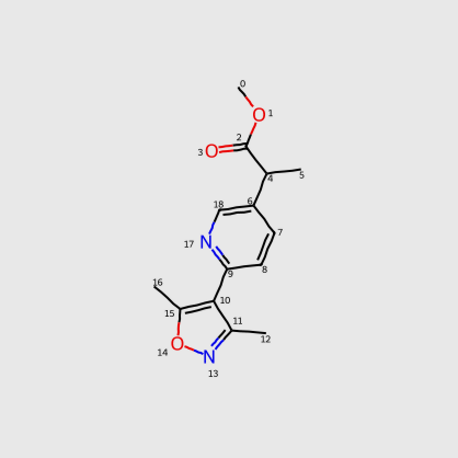 COC(=O)C(C)c1ccc(-c2c(C)noc2C)nc1